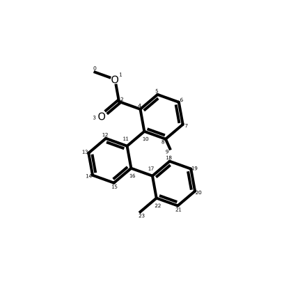 COC(=O)c1cccc(C)c1-c1ccccc1-c1ccccc1C